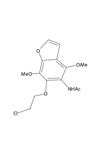 COc1c(NC(C)=O)c(OCCCl)c(OC)c2occc12